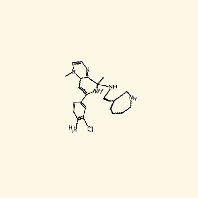 CN1C=CN=C2C1C=C(c1ccc(N)c(Cl)c1)NC2(C)NC[C@@H]1CCCNC1